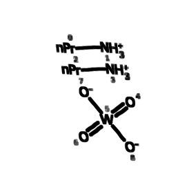 CCC[NH3+].CCC[NH3+].[O]=[W](=[O])([O-])[O-]